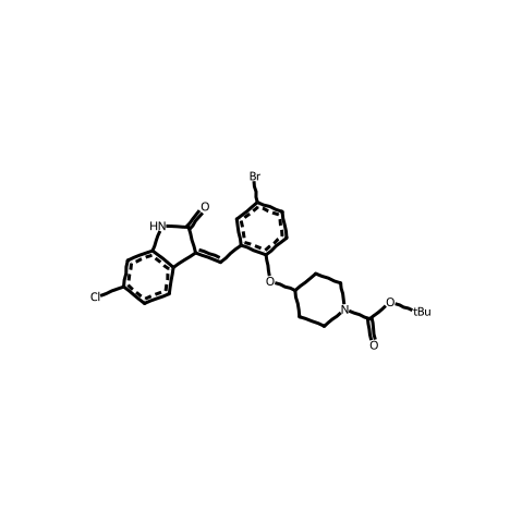 CC(C)(C)OC(=O)N1CCC(Oc2ccc(Br)cc2C=C2C(=O)Nc3cc(Cl)ccc32)CC1